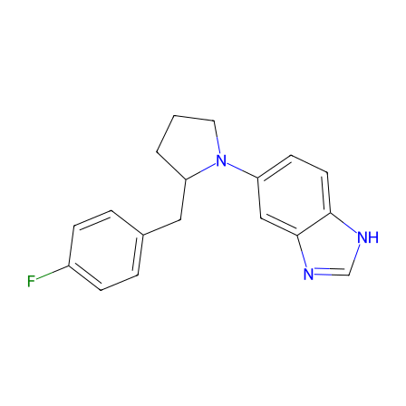 Fc1ccc(CC2CCCN2c2ccc3[nH]cnc3c2)cc1